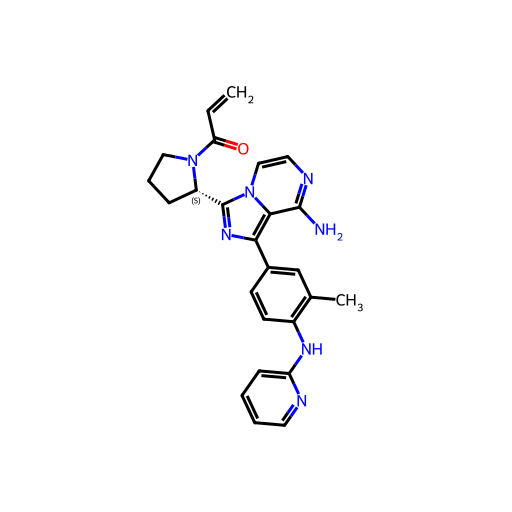 C=CC(=O)N1CCC[C@H]1c1nc(-c2ccc(Nc3ccccn3)c(C)c2)c2c(N)nccn12